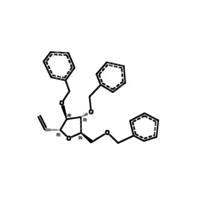 C=C[C@H]1O[C@H](COCc2ccccc2)[C@@H](OCc2ccccc2)[C@@H]1OCc1ccccc1